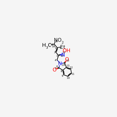 CCC(=CC(CN1C(=O)c2ccccc2C1=O)=NO)C(C)[N+](=O)[O-]